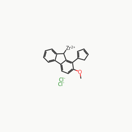 COc1ccc2c(c1C1=CC=CC1)[CH]([Zr+2])c1ccccc1-2.[Cl-].[Cl-]